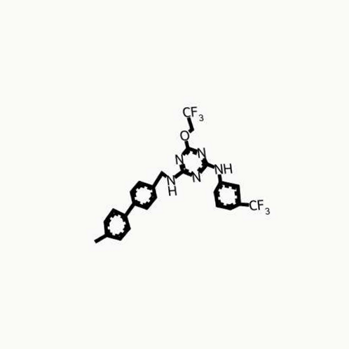 Cc1ccc(-c2ccc(CNc3nc(Nc4cccc(C(F)(F)F)c4)nc(OCC(F)(F)F)n3)cc2)cc1